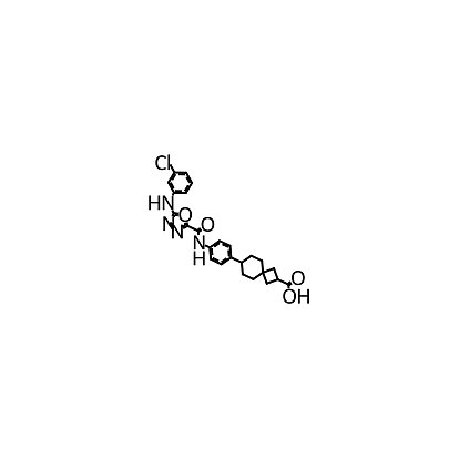 O=C(Nc1ccc(C2CCC3(CC2)CC(C(=O)O)C3)cc1)c1nnc(Nc2cccc(Cl)c2)o1